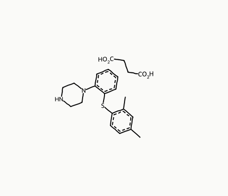 Cc1ccc(Sc2ccccc2N2CCNCC2)c(C)c1.O=C(O)CCC(=O)O